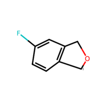 Fc1ccc2c(c1)CO[C]2